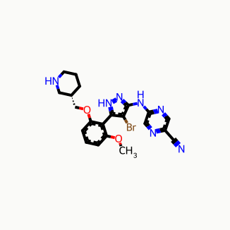 COc1cccc(OC[C@H]2CCCNC2)c1-c1[nH]nc(Nc2cnc(C#N)cn2)c1Br